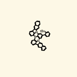 CC(C)(C)c1ccccc1-c1cc2c3c(c1)-n1c4cc5ccccc5cc4c4cccc(c41)B3c1cccc3c4cc5ccccc5cc4n-2c13